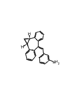 Nc1cccc(C=C2c3ccccc3[C@H]3C[C@H]3c3ccccc32)c1